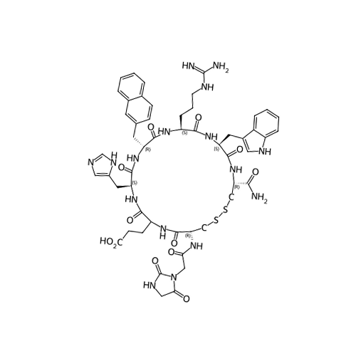 N=C(N)NCCC[C@@H]1NC(=O)[C@@H](Cc2ccc3ccccc3c2)NC(=O)[C@H](Cc2cnc[nH]2)NC(=O)C(CCC(=O)O)NC(=O)[C@@H](NC(=O)CN2C(=O)CNC2=O)CSSC[C@@H](C(N)=O)NC(=O)[C@H](Cc2c[nH]c3ccccc23)NC1=O